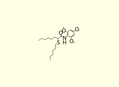 CCCCCCSC(CCCCCC)C(=O)Nc1c(OC)cc(OC)cc1OC